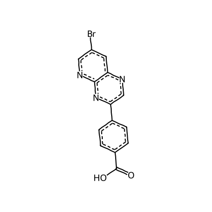 O=C(O)c1ccc(-c2cnc3cc(Br)cnc3n2)cc1